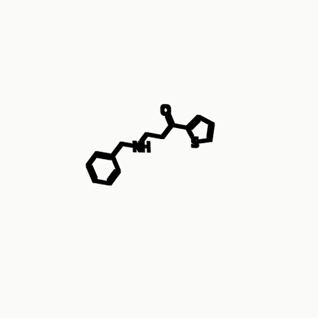 O=C(CCNCc1ccccc1)c1cccs1